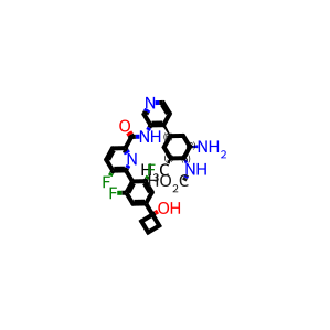 C[C@H]1C[C@@H](c2ccncc2NC(=O)c2ccc(F)c(-c3c(F)cc(C4(O)CCC4)cc3F)n2)C[C@@H](N)[C@H]1NC(=O)O